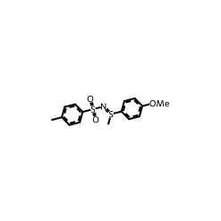 COc1ccc(/S(C)=N/S(=O)(=O)c2ccc(C)cc2)cc1